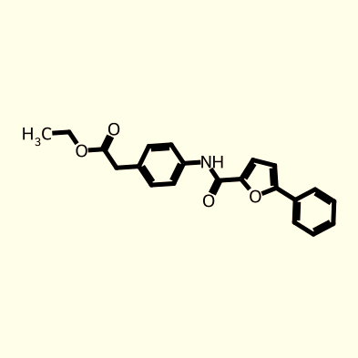 CCOC(=O)Cc1ccc(NC(=O)c2ccc(-c3ccccc3)o2)cc1